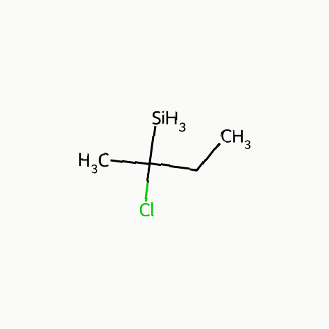 CCC(C)([SiH3])Cl